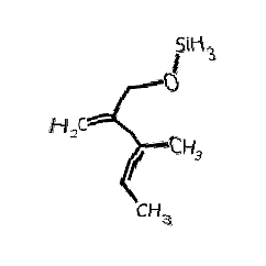 C=C(CO[SiH3])C(C)=CC